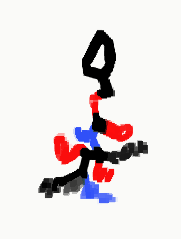 C[C@H](N)C(=O)C(O)(NC(=O)OCc1ccccc1)C(=O)O